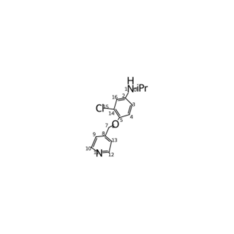 CC(C)Nc1ccc(OCc2ccncc2)c(Cl)c1